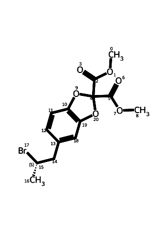 COC(=O)C1(C(=O)OC)Oc2ccc(C[C@H](C)Br)cc2O1